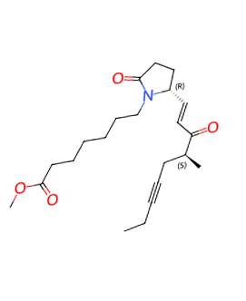 CCC#CC[C@H](C)C(=O)C=C[C@H]1CCC(=O)N1CCCCCCC(=O)OC